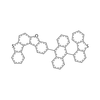 c1ccc2c(c1)sc1cccc(-c3c4ccccc4c(-c4ccc5c(c4)oc4ccc6sc7ccccc7c6c45)c4ccccc34)c12